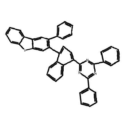 c1ccc(-c2nc(-c3ccccc3)nc(-c3ccc(-c4cc5sc6ccccc6c5cc4-c4ccccc4)c4ccccc34)n2)cc1